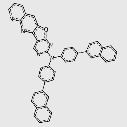 c1ccc2cc(-c3ccc(N(c4ccc(-c5ccc6ccccc6c5)cc4)c4ncc5c(n4)oc4cc6cccnc6nc45)cc3)ccc2c1